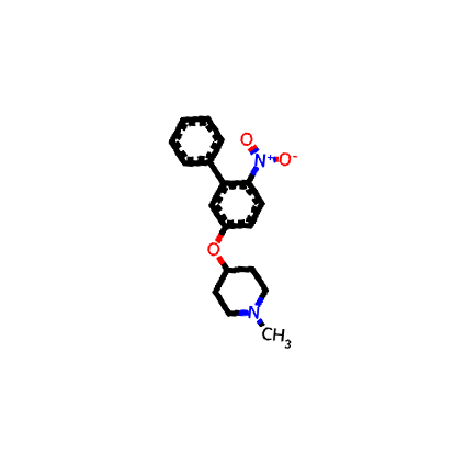 CN1CCC(Oc2ccc([N+](=O)[O-])c(-c3ccccc3)c2)CC1